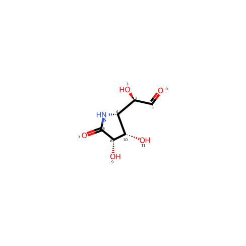 O=C[C@H](O)[C@H]1NC(=O)[C@@H](O)[C@H]1O